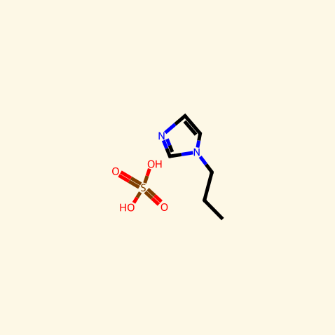 CCCn1ccnc1.O=S(=O)(O)O